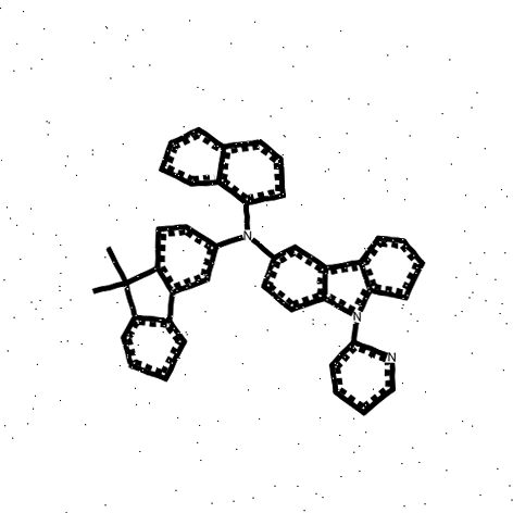 CC1(C)c2ccccc2-c2cc(N(c3ccc4c(c3)c3ccccc3n4-c3ccccn3)c3cccc4ccccc34)ccc21